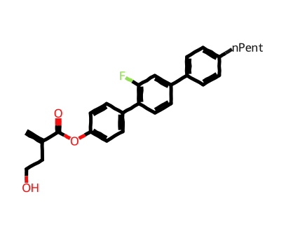 C=C(CCO)C(=O)Oc1ccc(-c2ccc(-c3ccc(CCCCC)cc3)cc2F)cc1